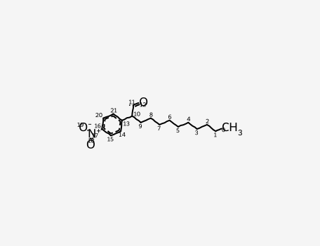 CCCCCCCCCCC([C]=O)c1ccc([N+](=O)[O-])cc1